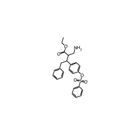 CCOC(=O)C(CN)C(Cc1ccccc1)c1ccc(OS(=O)(=O)c2ccccc2)cc1